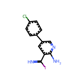 N=C(I)c1cc(-c2ccc(Cl)cc2)cnc1N